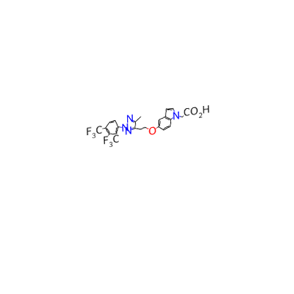 Cc1nn(-c2ccc(C(F)(F)F)c(C(F)(F)F)c2)nc1CCOc1ccc2c(ccn2CC(=O)O)c1